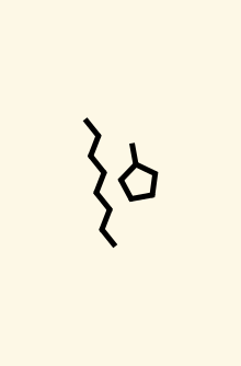 CC1CCCC1.CCCCCCCC